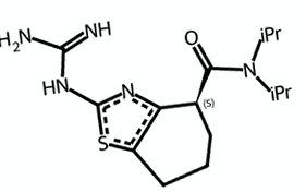 CC(C)N(C(=O)[C@H]1CCCc2sc(NC(=N)N)nc21)C(C)C